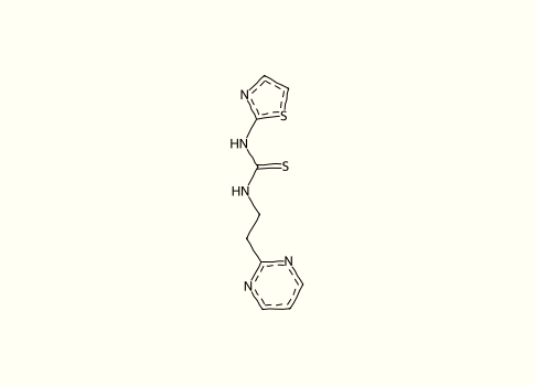 S=C(NCCc1ncccn1)Nc1nccs1